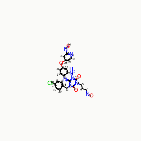 Nn1c(=O)n(CCCN=O)c(=O)n(Cc2ccc(Cl)cc2)/c1=N/c1ccc(Oc2ccnc(N=O)c2)cc1